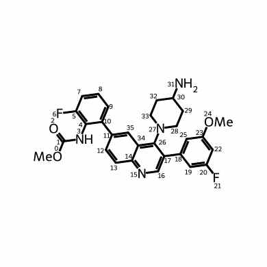 COC(=O)Nc1c(F)cccc1-c1ccc2ncc(-c3cc(F)cc(OC)c3)c(N3CCC(N)CC3)c2c1